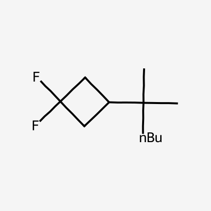 CCCCC(C)(C)C1CC(F)(F)C1